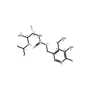 Cc1ncc(CO[PH](=O)N[C@@H](C)C(O)OC(C)C)c(CO)c1O